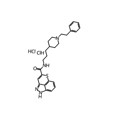 Cl.Cl.O=C(NCCCC1CCN(CCc2ccccc2)CC1)C1=Cc2n[nH]c3cccc(c23)S1